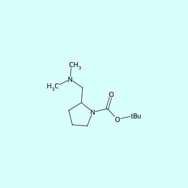 CN(C)CC1CCCN1C(=O)OC(C)(C)C